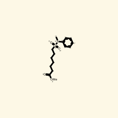 COC(=O)CCCCCCS(=O)(=O)N(C)c1ccccc1